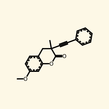 COc1ccc2c(c1)OC(=O)C(C)(C#Cc1ccccc1)C2